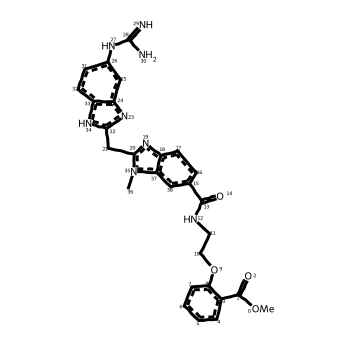 COC(=O)c1ccccc1OCCNC(=O)c1ccc2nc(Cc3nc4cc(NC(=N)N)ccc4[nH]3)n(C)c2c1